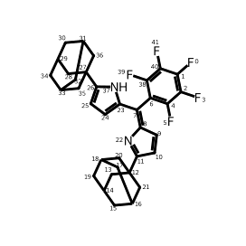 Fc1c(F)c(F)c(/C(=C2\C=CC(C34CC5CC(CC(C5)C3)C4)=N2)c2ccc(C34CC5CC(CC(C5)C3)C4)[nH]2)c(F)c1F